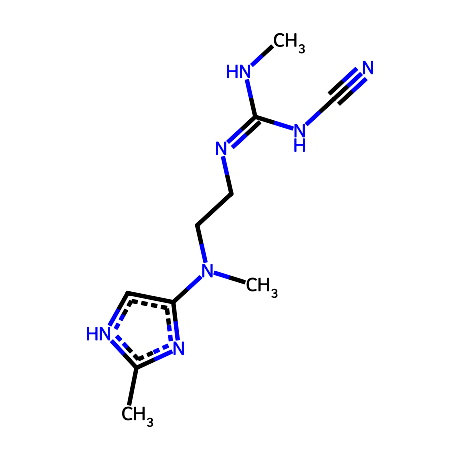 CNC(=NCCN(C)c1c[nH]c(C)n1)NC#N